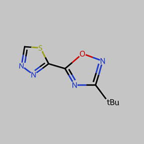 CC(C)(C)c1noc(-c2nncs2)n1